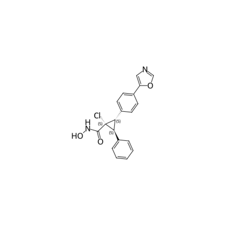 O=C(NO)[C@]1(Cl)[C@H](c2ccccc2)[C@H]1c1ccc(-c2cnco2)cc1